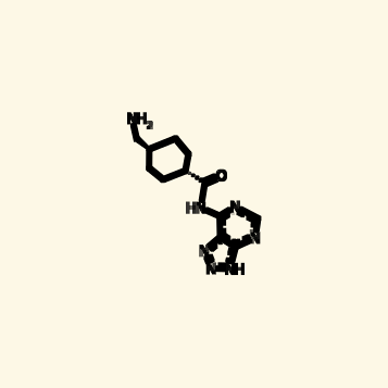 NC[C@H]1CC[C@H](C(=O)Nc2ncnc3[nH]nnc23)CC1